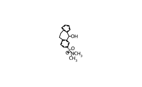 CN(C)S(=O)(=O)c1ccc2c(c1)C(O)c1ccccc1CC2